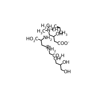 C=CC.CC(C)CC(N)C(=O)O.C[N+](C)(C)CC(O)CC(=O)[O-].NCC(=O)O.OCC(O)CO